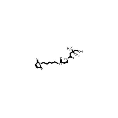 CC(C)(CO)CC(=O)N/C=C\C(=O)NCCCCCN1C(=O)C=CC1=O